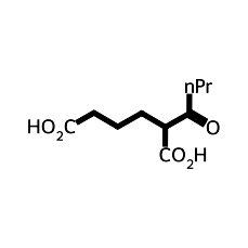 CCCC(=O)C(CCCC(=O)O)C(=O)O